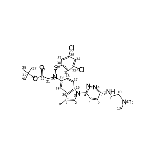 Cc1cn(-c2ccc(NCCN(C)C)nn2)c2ccc(N(CC(=O)OC(C)(C)C)Sc3cc(Cl)cc(Cl)c3)cc12